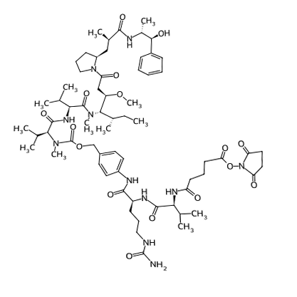 CC[C@H](C)[C@@H]([C@@H](CC(=O)N1CCC[C@H]1C[C@@H](C)C(=O)N[C@H](C)[C@@H](O)c1ccccc1)OC)N(C)C(=O)[C@@H](NC(=O)[C@H](C(C)C)N(C)C(=O)OCc1ccc(NC(=O)[C@H](CCCNC(N)=O)NC(=O)[C@@H](NC(=O)CCCC(=O)ON2C(=O)CCC2=O)C(C)C)cc1)C(C)C